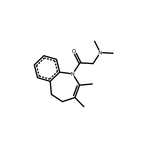 CC1=C(C)N(C(=O)CN(C)C)c2ccccc2CC1